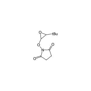 CC(C)(C)C1OC1ON1C(=O)CCC1=O